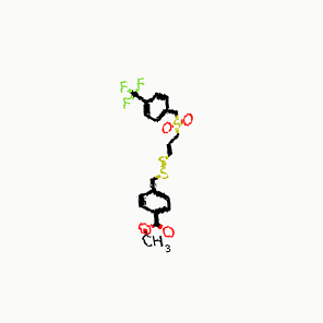 COC(=O)c1ccc(CSSC=CCS(=O)(=O)Cc2ccc(C(F)(F)F)cc2)cc1